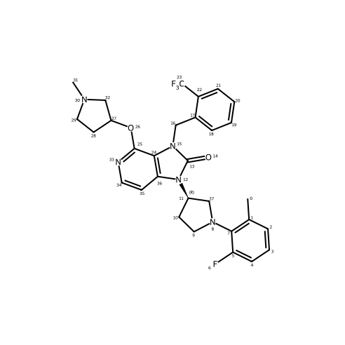 Cc1cccc(F)c1N1CC[C@@H](n2c(=O)n(Cc3ccccc3C(F)(F)F)c3c(OC4CCN(C)C4)nccc32)C1